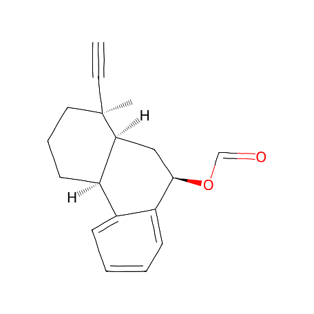 C#C[C@]1(C)CCC[C@@H]2c3ccccc3[C@H](OC=O)C[C@@H]21